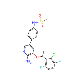 CC(Oc1cc(-c2ccc(NS(C)(=O)=O)cc2)cnc1N)c1c(F)ccc(F)c1Cl